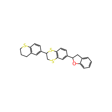 c1ccc2c(c1)CC(c1ccc3c(c1)SCC(c1ccc4c(c1)CCCS4)S3)O2